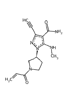 C#Cc1nn([C@H]2CCN(C(=O)C=C)C2)c(NC)c1C(N)=O